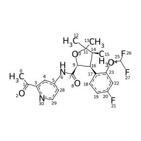 CC(=O)c1cc(NC(=O)[C@H]2OC(C)(C)[C@@H](C)[C@H]2c2ccc(F)cc2OC(F)F)ccn1